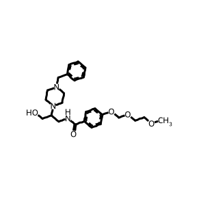 COCCOCOc1ccc(C(=O)NCC(CO)N2CCN(Cc3ccccc3)CC2)cc1